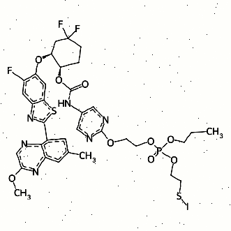 CCCOP(=O)(OCCOc1ncc(NC(=O)O[C@@H]2CCC(F)(F)C[C@@H]2Oc2cc3sc(-c4cc(C)cc5nc(OC)cnc45)nc3cc2F)cn1)OCCSI